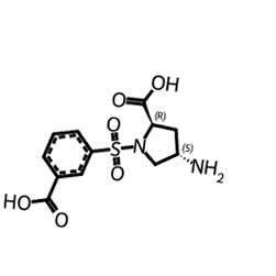 N[C@H]1C[C@H](C(=O)O)N(S(=O)(=O)c2cccc(C(=O)O)c2)C1